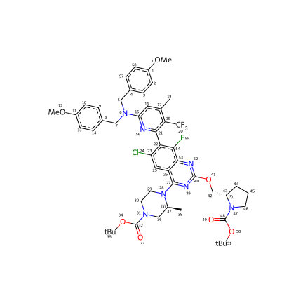 COc1ccc(CN(Cc2ccc(OC)cc2)c2cc(C)c(C(F)(F)F)c(-c3c(Cl)cc4c(N5CCN(C(=O)OC(C)(C)C)C[C@@H]5C)nc(OC[C@@H]5CCCN5C(=O)OC(C)(C)C)nc4c3F)n2)cc1